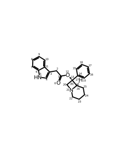 O=C(Cc1c[nH]c2ccccc12)O[C@]1(c2ccccc2)CN2CCCC[C@@H]21